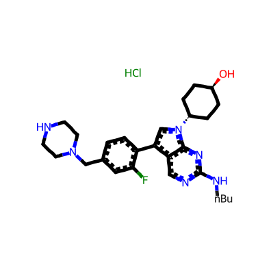 CCCCNc1ncc2c(-c3ccc(CN4CCNCC4)cc3F)cn([C@H]3CC[C@H](O)CC3)c2n1.Cl